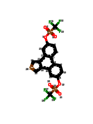 O=S(=O)(Oc1ccc2c3ccc(OS(=O)(=O)C(F)(F)F)cc3c3cscc3c2c1)C(F)(F)F